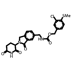 CSc1ccc(COC(=O)NCc2ccc3c(c2)C(=O)N(C2CCC(=O)NC2=O)C3)cc1Cl